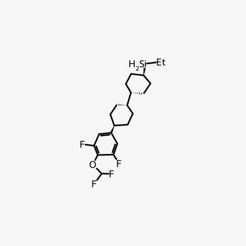 CC[SiH2][C@H]1CC[C@H]([C@H]2CC[C@H](c3cc(F)c(OC(F)F)c(F)c3)CC2)CC1